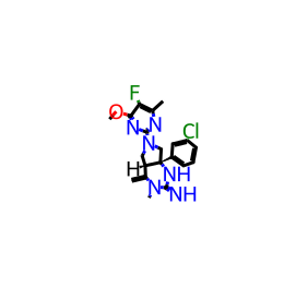 C=C1[C@@H]2CN(c3nc(C)c(F)c(OC)n3)C[C@]2(c2cccc(Cl)c2)NC(=N)N1C